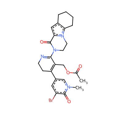 CC(=O)OCC1=C(c2cc(Br)c(=O)n(C)c2)CCN=C1N1CCn2c(cc3c2CCCC3)C1=O